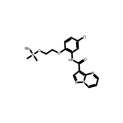 CC(C)(C)[Si](C)(C)OCCOc1ccc(Cl)cc1NC(=O)c1cnn2cccnc12